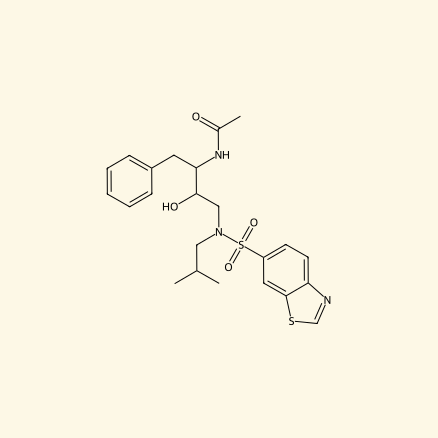 CC(=O)NC(Cc1ccccc1)C(O)CN(CC(C)C)S(=O)(=O)c1ccc2ncsc2c1